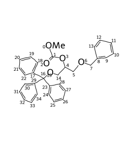 COC(=O)OC(COCc1ccccc1)COC(c1ccccc1)(c1ccccc1)c1ccccc1